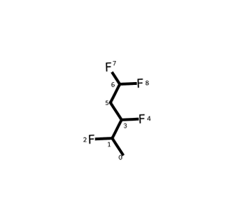 CC(F)C(F)CC(F)F